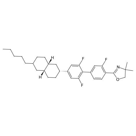 CCCCCC1CC[C@@H]2C[C@H](c3cc(F)c(-c4ccc(C5=NC(C)(C)CO5)c(F)c4)c(F)c3)CC[C@@H]2C1